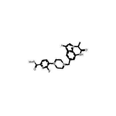 CNC(=O)c1ccc(N2CCN(Cc3cc4c5c(c3)c(F)cn5C(C)C(=O)N4)CC2)c(F)n1